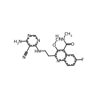 CNC(=O)c1c(OC)c(CCNc2ncnc(N)c2C#N)nc2ccc(F)cc12